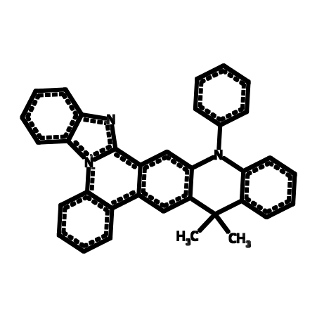 CC1(C)c2ccccc2N(c2ccccc2)c2cc3c(cc21)c1ccccc1n1c2ccccc2nc31